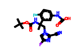 CC(C)(C)OC(=O)NC(C)(Cn1cc(I)nc1C#N)c1cc(NC(=O)O)ccc1F